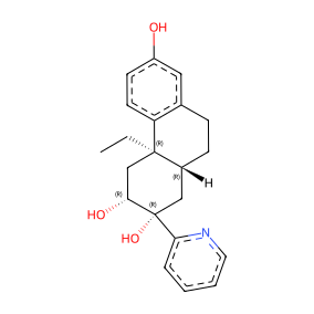 CC[C@@]12C[C@@H](O)[C@](O)(c3ccccn3)C[C@H]1CCc1cc(O)ccc12